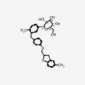 Cc1ccc2c(c1)CC(COc1ccc(Cc3cc([C@@H]4O[C@H](CO)[C@@H](O)[C@H](O)[C@H]4O)ccc3C)cc1)O2